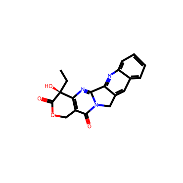 CC[C@@]1(O)C(=O)OCc2c1nc1n(c2=O)Cc2cc3ccccc3nc2-1